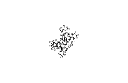 Cc1cc2cc(C)c3c4c2c2c1B(c1ccccc1)c1nc5c(nc1N2C(=O)N4c1nc2c(nc1B3c1ccccc1)C(C)(C)C(C)(C)C2(C)C)C(C)(C)C(C)(C)C5(C)C